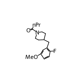 CCCC(=O)N1CCC(Cc2cc(OC)ccc2F)CC1